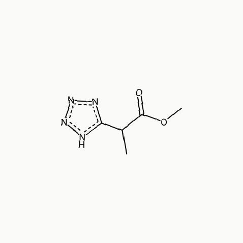 COC(=O)C(C)c1nnn[nH]1